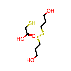 O=C(O)CS.OCCCSSCCCO